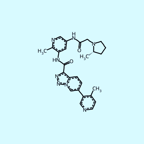 Cc1ccncc1-c1ccc2c(C(=O)Nc3cc(NC(=O)CN4CCC[C@@H]4C)cnc3C)nnn2c1